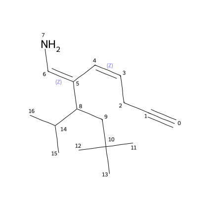 C#CC/C=C\C(=C/N)C(CC(C)(C)C)C(C)C